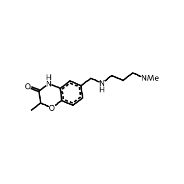 CNCCCNCc1ccc2c(c1)NC(=O)C(C)O2